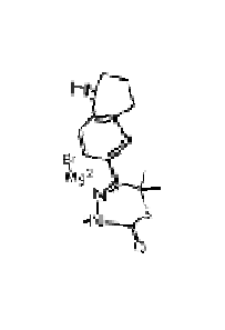 CC1(C)SC(=O)NN=C1c1ccc2c(c1)CCCN2.[Mg+2][Br]